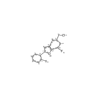 Fc1ccccc1-c1cc2cc(CCl)cc(F)c2o1